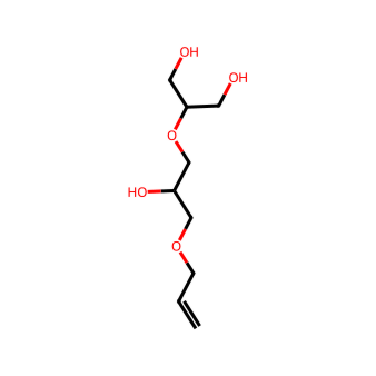 C=CCOCC(O)COC(CO)CO